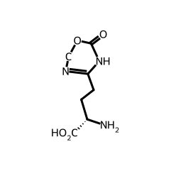 N[C@@H](CCC1=NCOC(=O)N1)C(=O)O